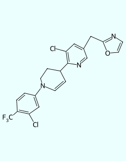 FC(F)(F)c1ccc(N2C=CC(c3ncc(Cc4ncco4)cc3Cl)CC2)cc1Cl